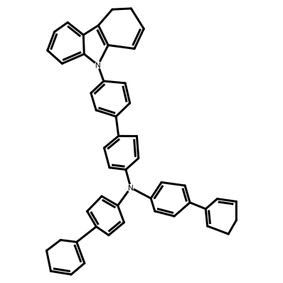 C1=CCCC(c2ccc(N(c3ccc(C4=CCCC=C4)cc3)c3ccc(-c4ccc(-n5c6c(c7ccccc75)CCC=C6)cc4)cc3)cc2)=C1